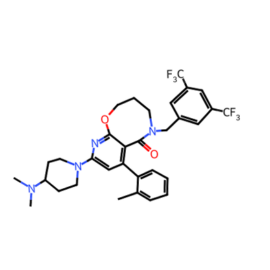 Cc1ccccc1-c1cc(N2CCC(N(C)C)CC2)nc2c1C(=O)N(Cc1cc(C(F)(F)F)cc(C(F)(F)F)c1)CCCO2